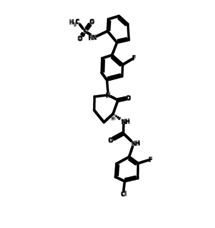 CS(=O)(=O)Nc1ccccc1-c1ccc(N2CCC[C@@H](NC(=O)Nc3ccc(Cl)cc3F)C2=O)cc1F